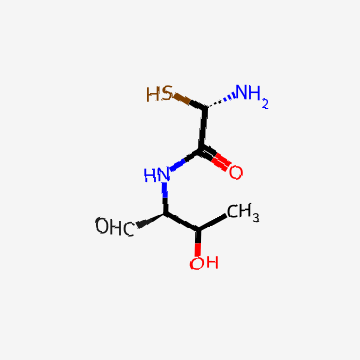 CC(O)[C@@H](C=O)NC(=O)[C@@H](N)S